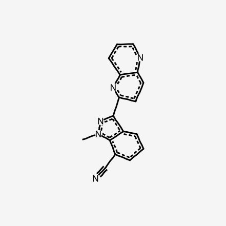 Cn1nc(-c2ccc3ncccc3n2)c2cccc(C#N)c21